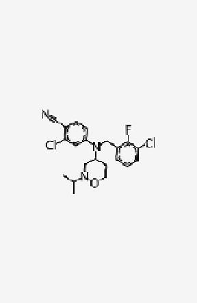 CC(C)N1C[C@@H](N(Cc2cccc(Cl)c2F)c2ccc(C#N)c(Cl)c2)CCO1